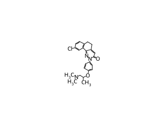 CC(CN(C)C)Oc1ccc(-n2nc3c(cc2=O)CCc2ccc(Cl)cc2-3)cc1